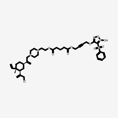 C=C[C@]1(C)CC[C@@H](C(=C)CN2CCN(CCOC(=O)CCCC(=O)OCC#CCOc3no[n+](O)c3S(=O)(=O)c3ccccc3)CC2)C[C@H]1C(=C)CCl